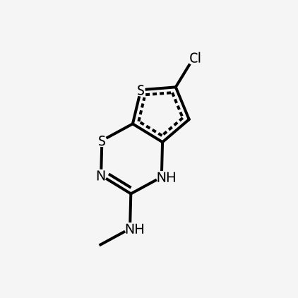 CNC1=NSc2sc(Cl)cc2N1